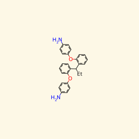 CCC(c1ccccc1Oc1ccc(N)cc1)c1ccccc1Oc1ccc(N)cc1